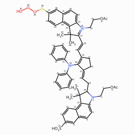 CC(=O)OCCN1c2ccc3cc(S(=O)(=O)O)ccc3c2C(C)(C)C1C/C=C1\CCC(/C=C/C2=[N+](CCOC(C)=O)c3ccc4cc(SOOO)ccc4c3C2(C)C)=C1N(c1ccccc1)c1ccccc1